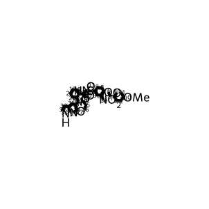 CO[C@H]1CC[C@H](COc2ccc(S(=O)(=O)NC(=O)c3ccccc3N3CCCOc4nc5[nH]ccc5cc43)cc2[N+](=O)[O-])OC1